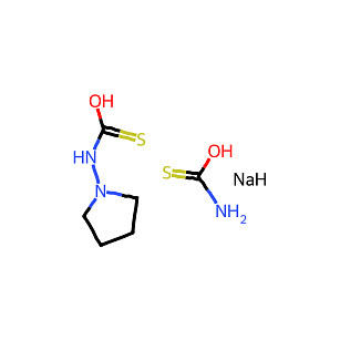 NC(O)=S.OC(=S)NN1CCCC1.[NaH]